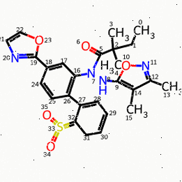 CCC(C)(C)C(=O)N(Nc1onc(C)c1C)c1cc(-c2ncco2)ccc1C1=CC=CCC1=S(=O)=O